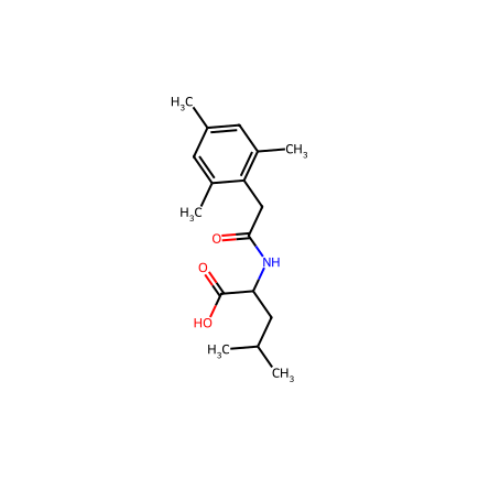 Cc1cc(C)c(CC(=O)NC(CC(C)C)C(=O)O)c(C)c1